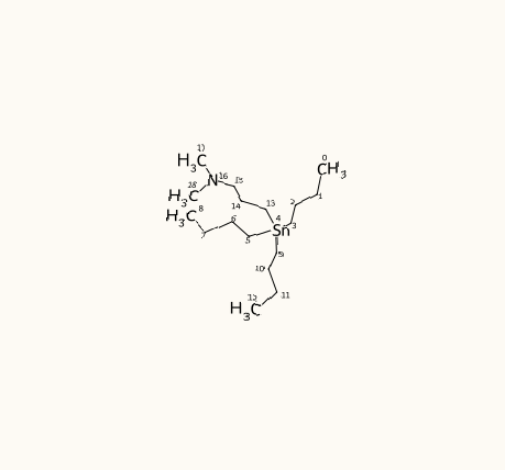 CCC[CH2][Sn]([CH2]CCC)([CH2]CCC)[CH2]CCN(C)C